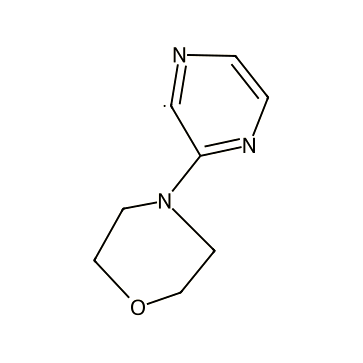 [c]1nccnc1N1CCOCC1